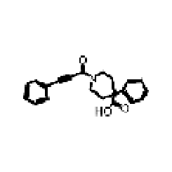 O=C(C#Cc1ccccc1)N1CCC(C(=O)O)(c2ccccc2)CC1